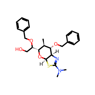 C[C@H]1[C@H](OCc2ccccc2)[C@H]2N=C(N(C)C)S[C@H]2O[C@@H]1C(CO)OCc1ccccc1